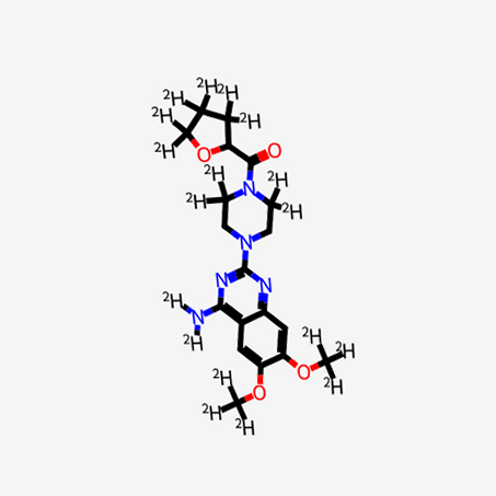 [2H]N([2H])c1nc(N2CC([2H])([2H])N(C(=O)C3OC([2H])([2H])C([2H])([2H])C3([2H])[2H])C([2H])([2H])C2)nc2cc(OC([2H])([2H])[2H])c(OC([2H])([2H])[2H])cc12